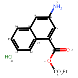 CCOC(=O)OC(=O)c1cc(N)cc2ccccc12.Cl